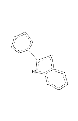 [c]1c(-c2ccccc2)[nH]c2ccccc12